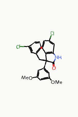 COc1cc(OC)cc(C2(Cc3cccc(Cl)c3)C(=O)Nc3cc(Cl)ccc32)c1